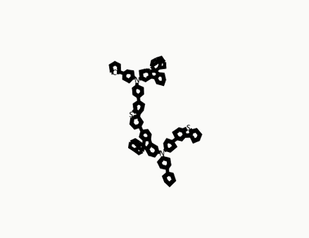 c1ccc(-c2ccc(N(c3ccc(-c4ccc5c(c4)sc4ccc(-c6ccc7c(c6)C6(c8ccc(N(c9ccc(-c%10ccccc%10)cc9)c9ccc(-c%10ccc%11sc%12ccccc%12c%11c%10)cc9)cc8-7)C7CC8CC(C7)CC6C8)cc45)cc3)c3ccc4c(c3)-c3ccccc3C43C4CC5CC(C4)CC3C5)cc2)cc1